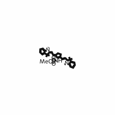 COS(=O)(=O)NC1=C(/C=C/C2=[N+](C)c3ccccc3C2(C)C)CC/C1=C\C=C1\N(C)c2ccccc2C1(C)C